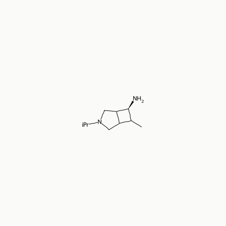 CC1C2CN(C(C)C)CC2[C@H]1N